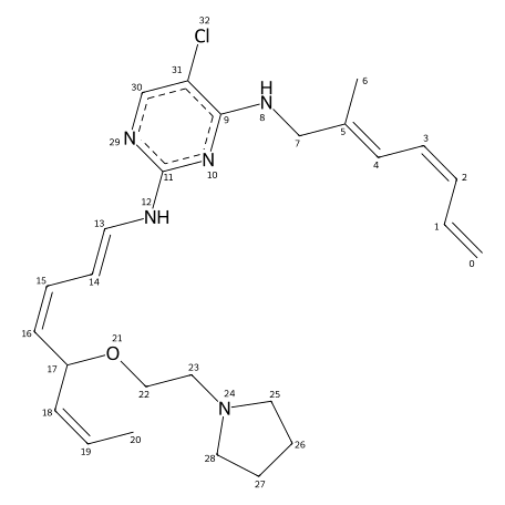 C=C/C=C\C=C(/C)CNc1nc(N/C=C/C=C\C(/C=C\C)OCCN2CCCC2)ncc1Cl